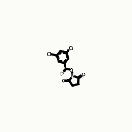 O=C(ON1C(=O)CCC1=O)c1cc(Cl)cc(Cl)c1